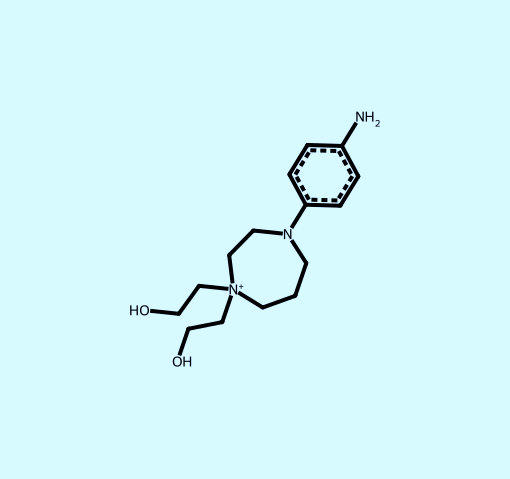 Nc1ccc(N2CCC[N+](CCO)(CCO)CC2)cc1